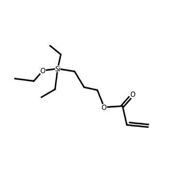 C=CC(=O)OCCC[Si](CC)(CC)OCC